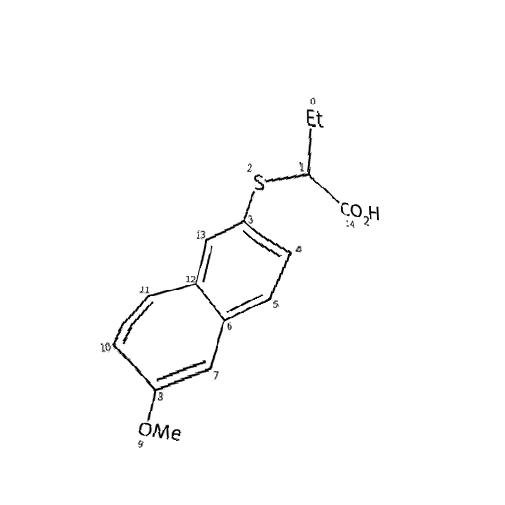 CCC(Sc1ccc2cc(OC)ccc2c1)C(=O)O